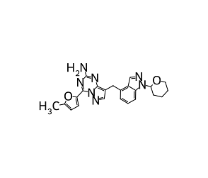 Cc1ccc(-c2nc(N)nc3c(Cc4cccc5c4cnn5C4CCCCO4)cnn23)o1